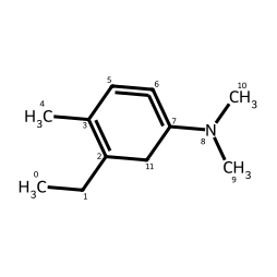 CCC1=C(C)C=C=C(N(C)C)C1